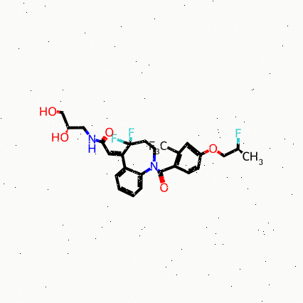 C[C@H](F)COc1ccc(C(=O)N2CCC(F)(F)/C(=C\C(=O)NC[C@H](O)CO)c3ccccc32)c(C(F)(F)F)c1